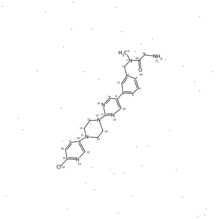 CN(Cc1cccc(-c2cnc(N3CCN(c4ccc(Cl)nc4)CC3)nc2)c1)C(=O)CN